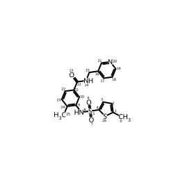 Cc1ccc(S(=O)(=O)Nc2cc(C(=O)NCc3cccnc3)ccc2C)s1